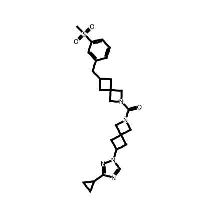 CS(=O)(=O)c1cccc(CC2CC3(C2)CN(C(=O)N2CC4(CC(n5cnc(C6CC6)n5)C4)C2)C3)c1